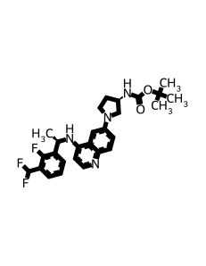 C[C@@H](Nc1ccnc2ccc(N3CC[C@H](NC(=O)OC(C)(C)C)C3)cc12)c1cccc(C(F)F)c1F